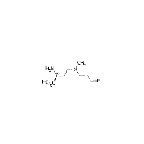 CN(CCCF)CC[C@H](N)C(=O)O